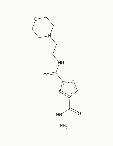 NNC(=O)c1ccc(C(=O)NCCN2CCOCC2)s1